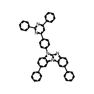 c1ccc(-c2ccc3nc4n(-c5ccc(-c6cc(-c7ccccc7)nc(-c7ccccc7)n6)cc5)c5ccc(-c6ccccc6)cc5n4c3c2)cc1